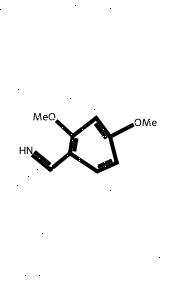 COc1ccc(C=N)c(OC)c1